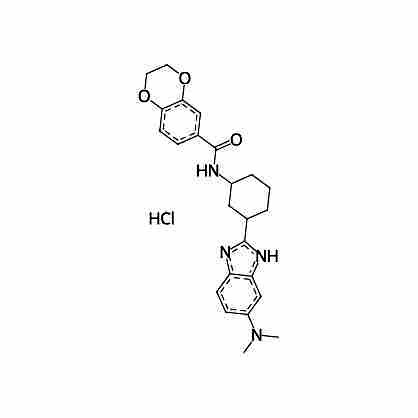 CN(C)c1ccc2nc(C3CCCC(NC(=O)c4ccc5c(c4)OCCO5)C3)[nH]c2c1.Cl